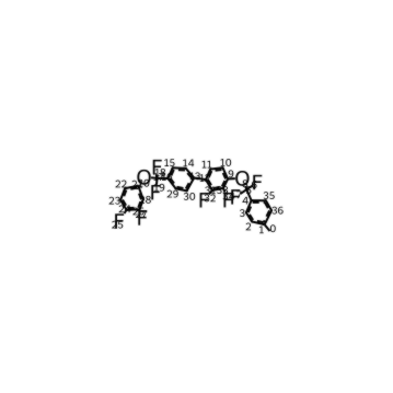 Cc1ccc(C(F)(F)Oc2ccc(-c3ccc(C(F)(F)Oc4ccc(F)c(F)c4)cc3)c(F)c2F)cc1